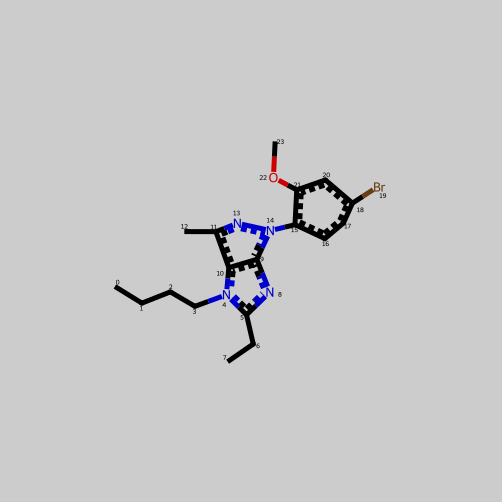 CCCCn1c(CC)nc2c1c(C)nn2-c1ccc(Br)cc1OC